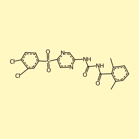 Cc1cccc(C)c1C(=O)NC(=O)Nc1cnc(S(=O)(=O)c2ccc(Cl)c(Cl)c2)cn1